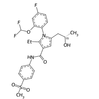 CCc1c(C(=O)Nc2ccc(S(C)(=O)=O)cc2)cc(C[C@H](C)O)n1-c1ccc(F)cc1OC(F)F